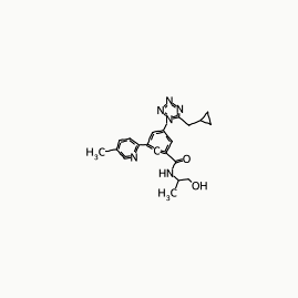 Cc1ccc(-c2cc(C(=O)NC(C)CO)cc(-n3nnnc3CC3CC3)c2)nc1